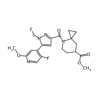 COC(=O)C1CCN(C(=O)c2cc(-c3cc(OC)ncc3F)n(SF)n2)C2(CC2)C1